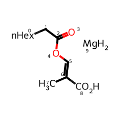 CCCCCCCC(=O)OC=C(C)C(=O)O.[MgH2]